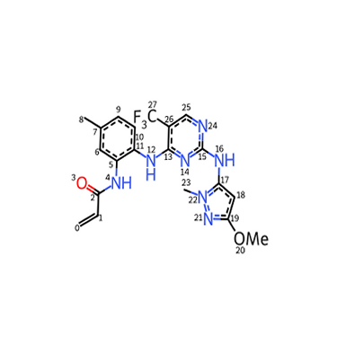 C=CC(=O)Nc1cc(C)ccc1Nc1nc(Nc2cc(OC)nn2C)ncc1C(F)(F)F